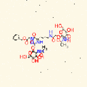 CC(=O)N[C@H]1[C@H](OCC(=O)NCCCC[C@H](NC(=O)CO[C@@H]2O[C@H](CO)[C@@H](O)[C@H](O)[C@H]2NC(C)=O)C(=O)NCC(=O)OCc2ccccc2)O[C@H](CO)[C@@H](O)[C@@H]1O